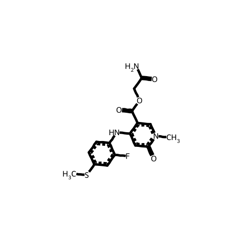 CSc1ccc(Nc2cc(=O)n(C)cc2C(=O)OCC(N)=O)c(F)c1